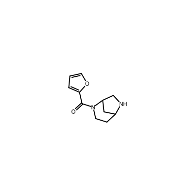 O=C(c1ccco1)N1CCC2CC1CN2